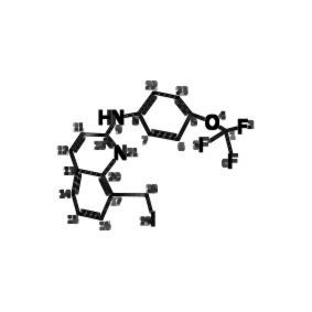 FC(F)(F)Oc1ccc(Nc2ccc3cccc(CI)c3n2)cc1